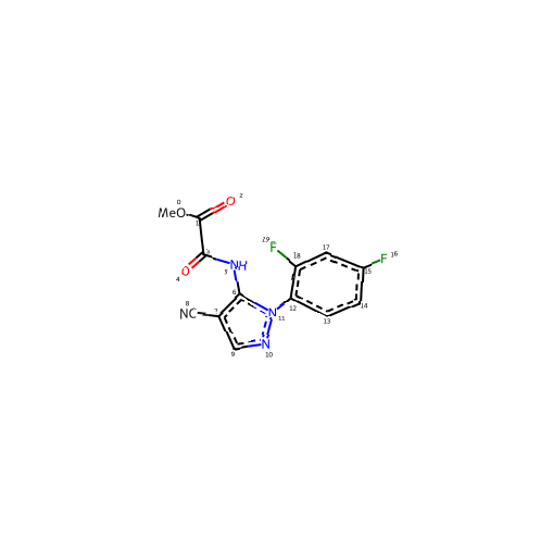 COC(=O)C(=O)Nc1c(C#N)cnn1-c1ccc(F)cc1F